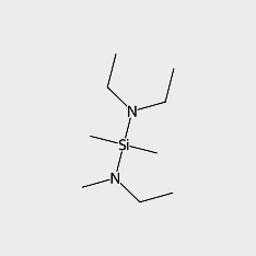 CCN(C)[Si](C)(C)N(CC)CC